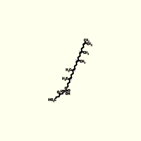 CC(C)=CCC/C(C)=C/CC/C(C)=C/CC/C=C(\C)CC/C=C(\C)CCCOP(=O)(O)NCC(=O)CCC(=O)O